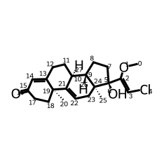 CO/C(=C\Cl)[C@@]1(O)CC[C@H]2[C@@H]3CCC4=CC(=O)CC[C@]4(C)C3=CC[C@@]21C